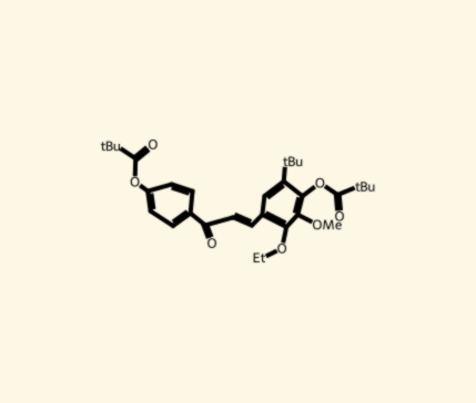 CCOc1c(C=CC(=O)c2ccc(OC(=O)C(C)(C)C)cc2)cc(C(C)(C)C)c(OC(=O)C(C)(C)C)c1OC